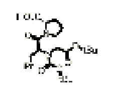 CC(C)CC(C(=O)N1CCC[C@H]1C(=O)O)N(CC(=O)OC(C)(C)C)C(=O)OC(C)(C)C